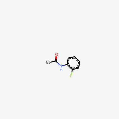 CCC(=O)Nc1ccccc1F